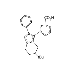 CC(C)(C)C1CCc2cc(-c3ccccc3)n(-c3cccc(C(=O)O)c3)c2C1